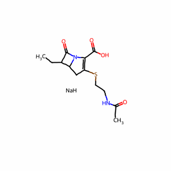 CCC1C(=O)N2C(C(=O)O)=C(SCCNC(C)=O)CC12.[NaH]